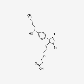 CCCCCC(O)c1ccc(C2C(Cl)CC(Cl)C2SCCOCCC(=O)O)cc1